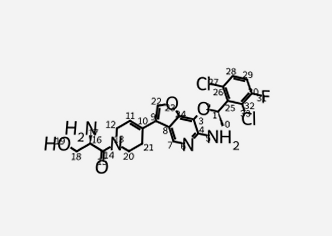 C[C@@H](Oc1c(N)ncc2c(C3=CCN(C(=O)[C@H](N)CO)CC3)coc12)c1c(Cl)ccc(F)c1Cl